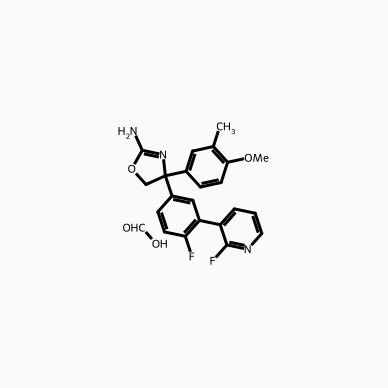 COc1ccc(C2(c3ccc(F)c(-c4cccnc4F)c3)COC(N)=N2)cc1C.O=CO